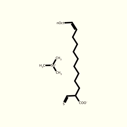 CCCCCCCC/C=C\CCCCCCCCC(C=S)C(=O)[O-].[CH3][Sn+]([CH3])[CH3]